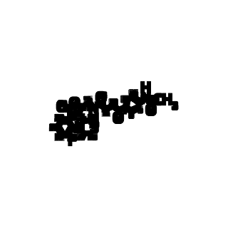 CC(=O)Nc1ccc(C(=O)CCC(=O)NC[C@H]2CN(c3cccc(F)c3N3CCSCC3)C(=O)O2)cc1